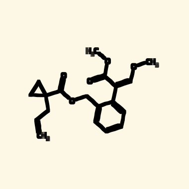 C=CCC1(C(=O)OCc2ccccc2C(=COC)C(=O)OC)CC1